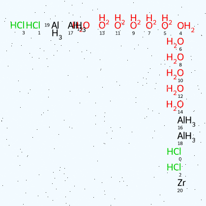 Cl.Cl.Cl.Cl.O.O.O.O.O.O.O.O.O.O.O.O.[AlH3].[AlH3].[AlH3].[AlH3].[Zr]